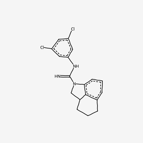 N=C(Nc1cc(Cl)cc(Cl)c1)N1CC2CCCc3cccc1c32